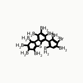 Bc1cc(B)c(-c2c(B)c(B)c(B)c3c2sc2c(B)c(B)c(B)c(B)c23)c(B)c1Br